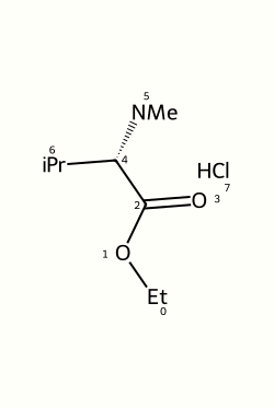 CCOC(=O)[C@@H](NC)C(C)C.Cl